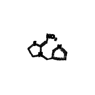 O=[N+]([O-])C=C1SCCN1Cc1cccnc1